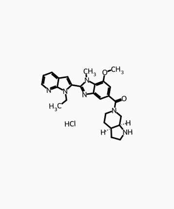 CCn1c(-c2nc3cc(C(=O)N4CC[C@@H]5CCN[C@@H]5C4)cc(OC)c3n2C)cc2cccnc21.Cl